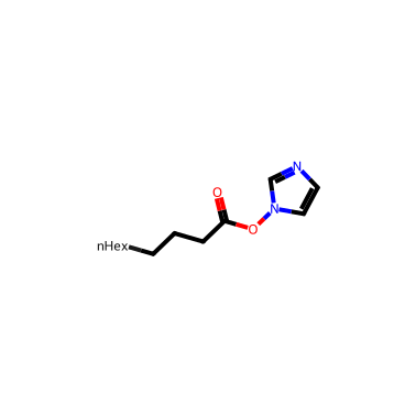 CCCCCCCCCC(=O)On1ccnc1